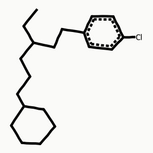 CCC(CCCC1CCCCC1)CCc1ccc(Cl)cc1